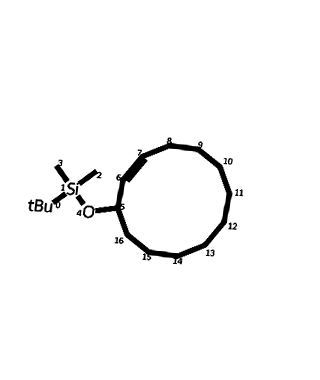 CC(C)(C)[Si](C)(C)OC1/C=C\CCCCCCCCC1